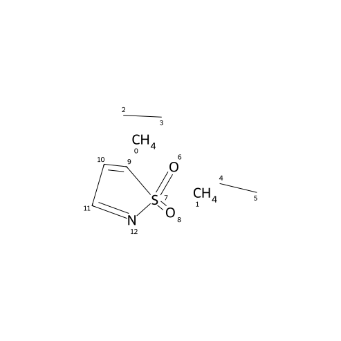 C.C.CC.CC.O=S1(=O)C=CC=N1